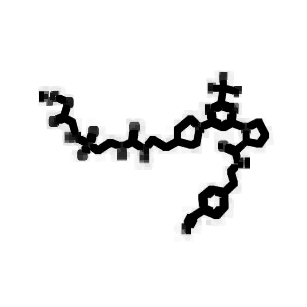 COC(=O)CNS(=O)(=O)CCNC(=O)NCCC1CCN(c2cc(N3CCC[C@H]3C(=O)NCCc3ccc(C#N)cc3)nc(C(F)(F)F)n2)CC1